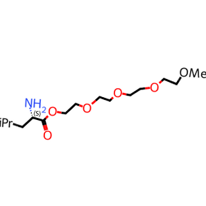 COCCOCCOCCOCCOC(=O)[C@@H](N)CC(C)C